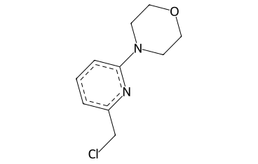 ClCc1cccc(N2CCOCC2)n1